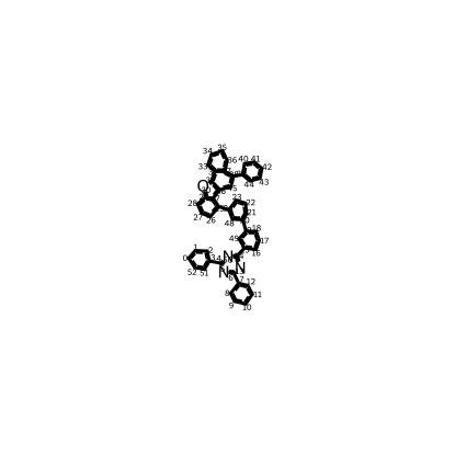 c1ccc(-c2nc(-c3ccccc3)nc(-c3cccc(-c4cccc(-c5cccc6oc7c8ccccc8c(-c8ccccc8)cc7c56)c4)c3)n2)cc1